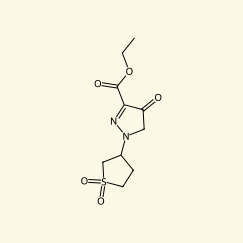 CCOC(=O)C1=NN(C2CCS(=O)(=O)C2)CC1=O